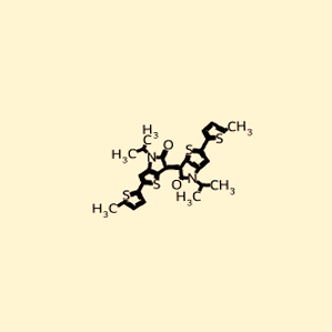 Cc1ccc(-c2cc3c(s2)/C(=C2\C(=O)N(C(C)C)c4cc(-c5ccc(C)s5)sc42)C(=O)N3C(C)C)s1